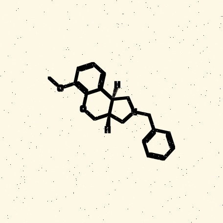 COc1cccc2c1OC[C@H]1CN(Cc3ccccc3)C[C@H]21